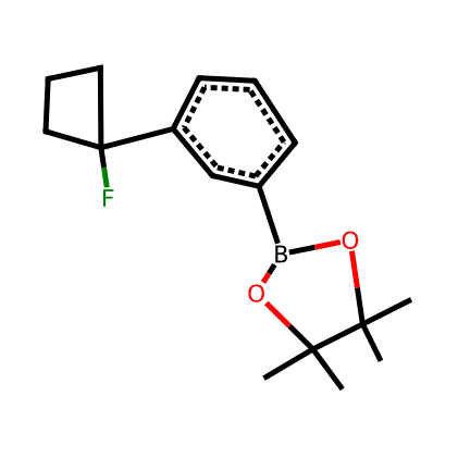 CC1(C)OB(c2cccc(C3(F)CCC3)c2)OC1(C)C